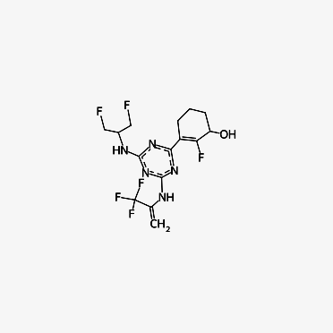 C=C(Nc1nc(NC(CF)CF)nc(C2=C(F)C(O)CCC2)n1)C(F)(F)F